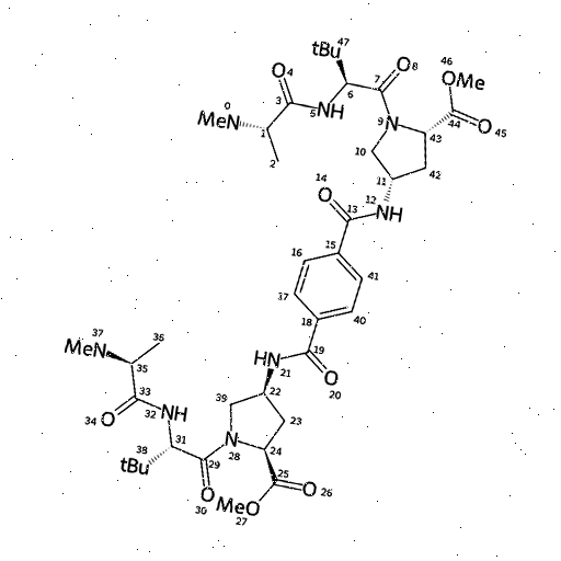 CN[C@@H](C)C(=O)N[C@H](C(=O)N1C[C@@H](NC(=O)c2ccc(C(=O)N[C@H]3C[C@@H](C(=O)OC)N(C(=O)[C@@H](NC(=O)[C@H](C)NC)C(C)(C)C)C3)cc2)C[C@H]1C(=O)OC)C(C)(C)C